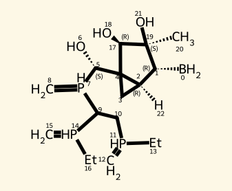 B[C@@H]1[C@H]2CC2([C@@H](O)[PH](=C)C(C[PH](=C)CC)[PH](=C)CC)[C@@H](O)[C@@]1(C)O